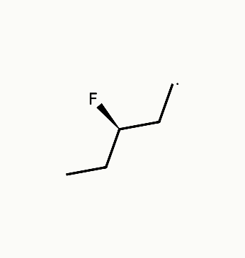 [CH2]C[C@H](F)CC